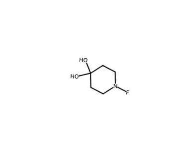 OC1(O)CCN(F)CC1